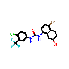 O=C(Nc1ccc(Cl)c(C(F)(F)F)c1)Nc1ccc(Br)c2c1CC(O)CC2